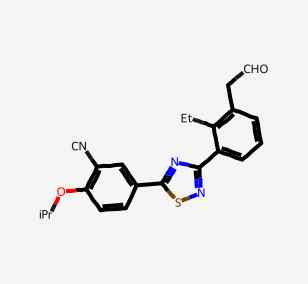 [C-]#[N+]c1cc(-c2nc(-c3cccc(CC=O)c3CC)ns2)ccc1OC(C)C